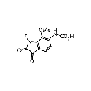 CCN1C(=O)C(=O)c2ccc(NC(=O)O)c(OC)c21